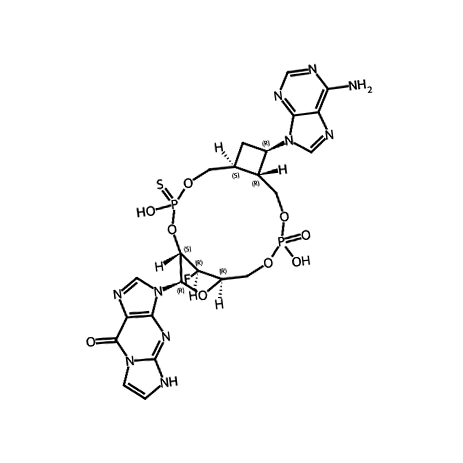 Nc1ncnc2c1ncn2[C@@H]1C[C@@H]2COP(O)(=S)O[C@@H]3[C@H](F)[C@@H](COP(=O)(O)OC[C@H]21)O[C@H]3n1cnc2c(=O)n3cc[nH]c3nc21